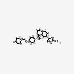 Cc1nc(-c2ccc3ncnc(Nc4ccc(OCc5ccccc5)cc4)c3c2)no1